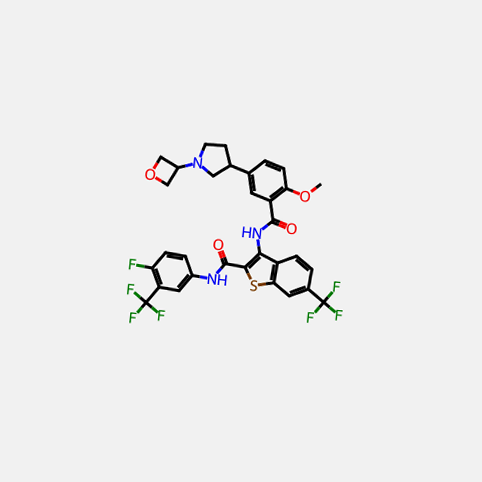 COc1ccc(C2CCN(C3COC3)C2)cc1C(=O)Nc1c(C(=O)Nc2ccc(F)c(C(F)(F)F)c2)sc2cc(C(F)(F)F)ccc12